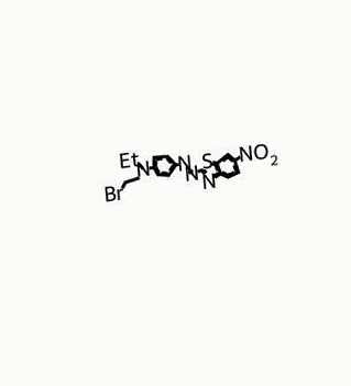 CCN(CCBr)c1ccc(/N=N/c2nc3ccc([N+](=O)[O-])cc3s2)cc1